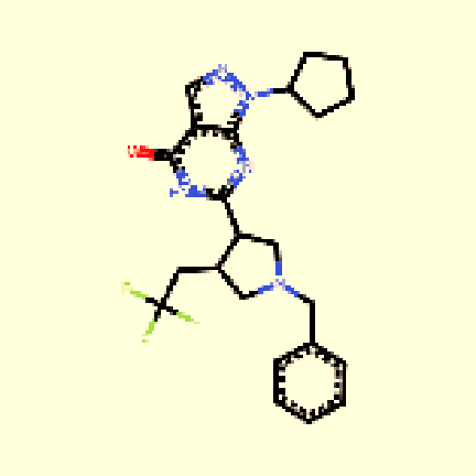 O=c1[nH]c(C2CN(Cc3ccccc3)CC2CC(F)(F)F)nc2c1cnn2C1CCCC1